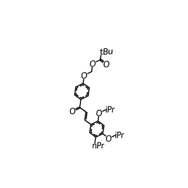 CCCc1cc(C=CC(=O)c2ccc(OCOC(=O)C(C)(C)C)cc2)c(OC(C)C)cc1OC(C)C